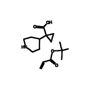 C=CC(=O)OC(C)(C)C.O=C(O)C1(C2CCNCC2)CC1